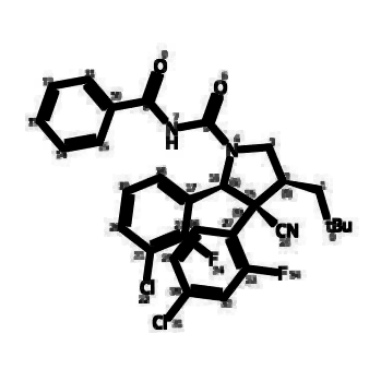 CC(C)(C)C[C@@H]1CN(C(=O)NC(=O)c2ccccc2)[C@H](c2cccc(Cl)c2F)[C@@]1(C#N)c1ccc(Cl)cc1F